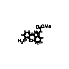 COC(=O)Cn1nc(-c2cccc(C)c2C)c2ccccc21